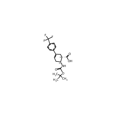 CC(C)(C)OC(=O)N[C@H]1CC=C(c2ccc(C(F)(F)F)cc2)C[C@@H]1C(=O)O